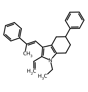 C=Cc1c(/C=C(\C)c2ccccc2)c2c(n1CC)CCC(c1ccccc1)C2